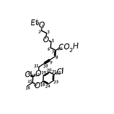 CCOCCOCCC(=CC#CCOC(=O)C(C)Oc1ccc(Cl)cc1)C(=O)O